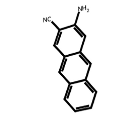 N#Cc1cc2cc3ccccc3cc2cc1N